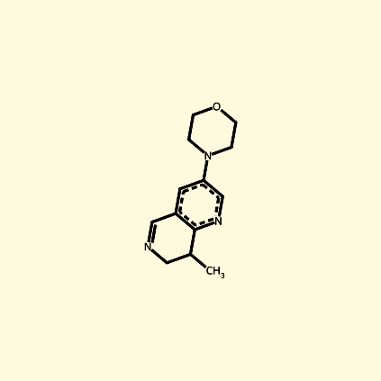 CC1CN=Cc2cc(N3CCOCC3)cnc21